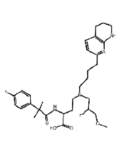 COCC(F)CN(CCCCc1ccc2c(n1)NCCC2)CCC(NC(=O)C(C)(C)c1ccc(F)cc1)C(=O)O